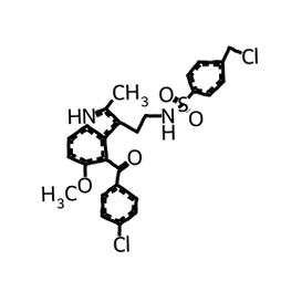 COc1ccc2[nH]c(C)c(CCNS(=O)(=O)c3ccc(CCl)cc3)c2c1C(=O)c1ccc(Cl)cc1